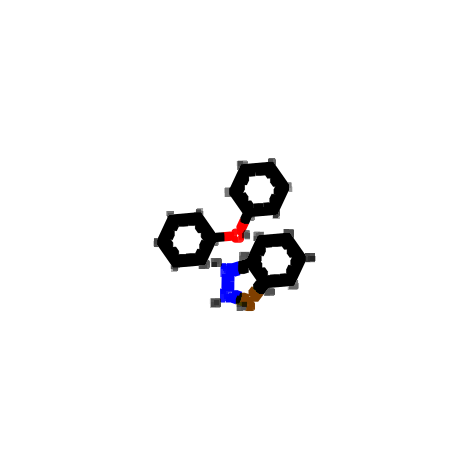 c1ccc(Oc2ccccc2)cc1.c1ccc2snnc2c1